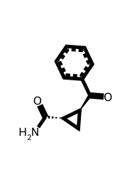 NC(=O)[C@H]1C[C@@H]1C(=O)c1ccccc1